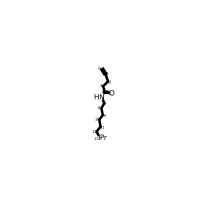 C#CCCC(=O)NCCCCCCC(C)C